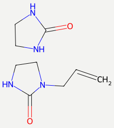 C=CCN1CCNC1=O.O=C1NCCN1